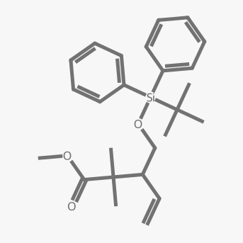 C=CC(CO[Si](c1ccccc1)(c1ccccc1)C(C)(C)C)C(C)(C)C(=O)OC